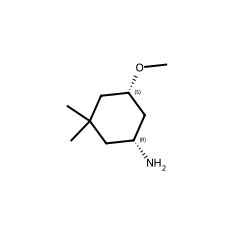 CO[C@@H]1C[C@H](N)CC(C)(C)C1